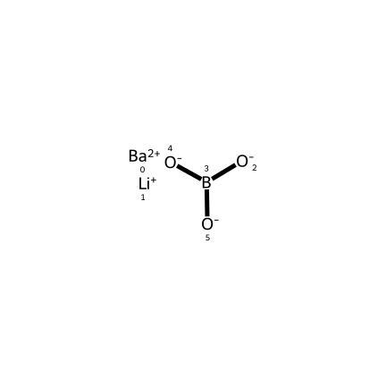 [Ba+2].[Li+].[O-]B([O-])[O-]